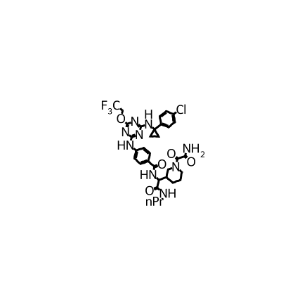 CCCNC(=O)C(NC(=O)c1ccc(Nc2nc(NC3(c4ccc(Cl)cc4)CC3)nc(OCC(F)(F)F)n2)cc1)C1CCCN(C(=O)C(N)=O)C1